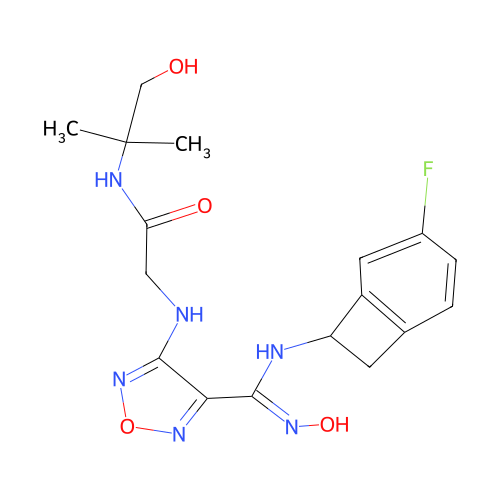 CC(C)(CO)NC(=O)CNc1nonc1/C(=N/O)NC1Cc2ccc(F)cc21